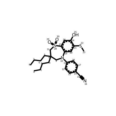 CCCCC1(CCCC)CN(c2ccc(C#N)cc2)c2cc(SC)c(O)cc2S(=O)(=O)C1